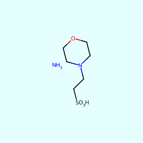 N.O=S(=O)(O)CCN1CCOCC1